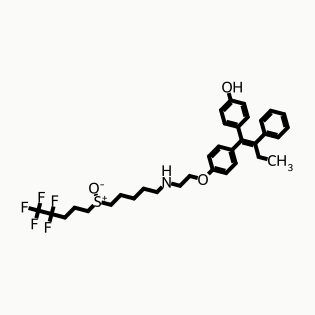 CCC(=C(c1ccc(O)cc1)c1ccc(OCCNCCCCC[S+]([O-])CCCC(F)(F)C(F)(F)F)cc1)c1ccccc1